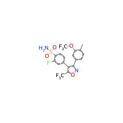 Cc1ccc(-c2noc(C(F)(F)F)c2-c2ccc(S(N)(=O)=O)c(F)c2)cc1OC(F)(F)F